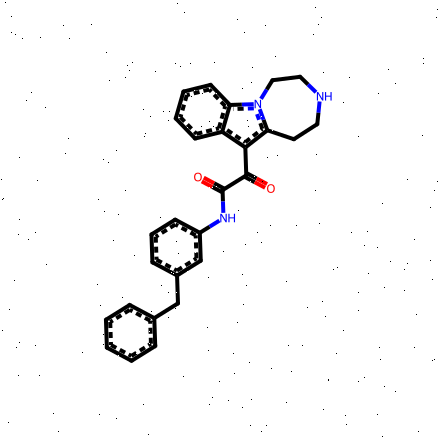 O=C(Nc1cccc(Cc2ccccc2)c1)C(=O)c1c2n(c3ccccc13)CCNCC2